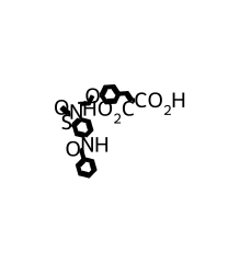 O=C(O)C(=Cc1ccc(OCCn2c(=O)sc3cc(NC(=O)c4ccccc4)ccc32)cc1)C(=O)O